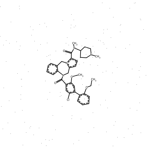 CCOc1ccccc1-c1cc(OC)c(C(=O)N2Cc3ccc(C(=O)N(C)C4CCN(C)CC4)n3Cc3ccccc32)cc1Cl